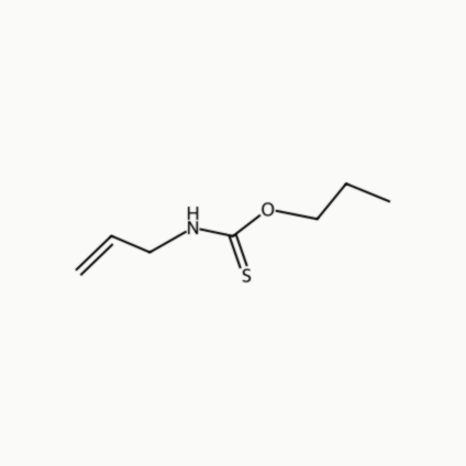 C=CCNC(=S)OCCC